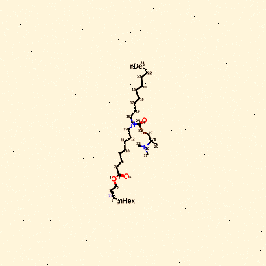 CCCCCC/C=C\COC(=O)CCCCCCCN(CCCCCCCCCCCCCCCCCC)C(=O)SCC(C)N(C)C